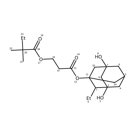 CCC1C2(O)CC3CC(O)(C2)CC1(OC(=O)CCOC(=O)C(C)(C)CC)C3